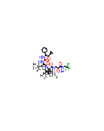 CC(C)(C)[C@H](NC(=O)N[C@H](C(=O)C1CC1)C1CCCCC1)C(=O)N1C[C@H]2[C@@H]([C@H]1C(=O)NCC(=O)C(=O)NCC(F)(F)F)C2(C)C